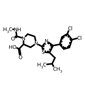 CNC(=O)N1CCN(c2nc(-c3ccc(Cl)c(Cl)c3)c(CC(C)C)s2)CC1C(=O)O